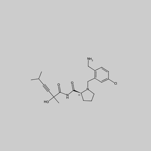 CC(C)C#CC(C)(O)C(=O)NC(=O)[C@@H]1CCCN1Cc1cc(Cl)ccc1CN